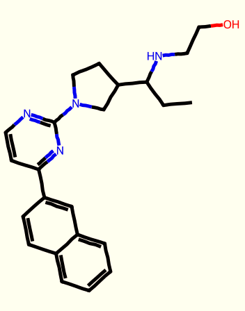 CCC(NCCO)C1CCN(c2nccc(-c3ccc4ccccc4c3)n2)C1